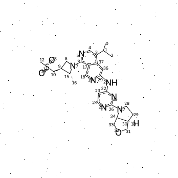 CC(C)c1cnc(N2C[C@H](CS(C)(=O)=O)[C@H]2C)c2cnc(Nc3ccnc(N4CC[C@H]5COCC54)n3)cc12